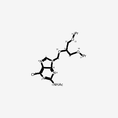 CC(=O)Nc1nc(Cl)c2ncn(COC(COC(C)C)COC(C)C)c2n1